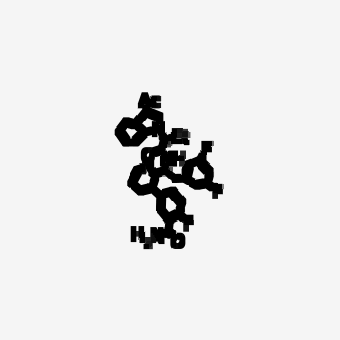 CC[C@@H](C(=O)N[C@@H](Cc1cc(F)cc(F)c1)c1ncccc1-c1ccc(F)c(C(N)=O)c1)n1cc(C(C)=O)c2ccccc21